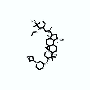 CCO[C@@H](C(C[C@@H](C)[C@H]1C[C@H](O)[C@@]2(C)C3CC[C@H]4C(C)(C)[C@@H](O[C@H]5CN(C6CNC6)CCO5)CC[C@@]45CC35CC[C@]12C)OC)C(C)(C)O